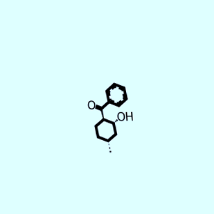 C[C@@H]1CC[C@@H](C(=O)c2ccccc2)[C@H](O)C1